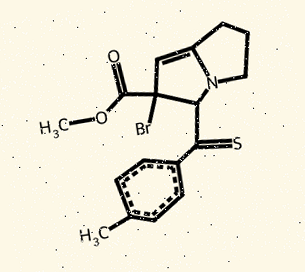 COC(=O)C1(Br)C=C2CCCN2C1C(=S)c1ccc(C)cc1